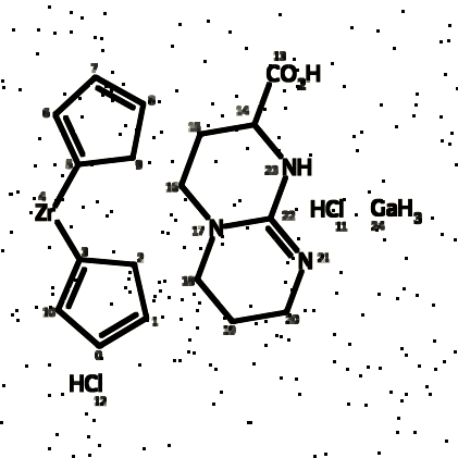 C1=CC[C]([Zr][C]2=CC=CC2)=C1.Cl.Cl.O=C(O)C1CCN2CCCN=C2N1.[GaH3]